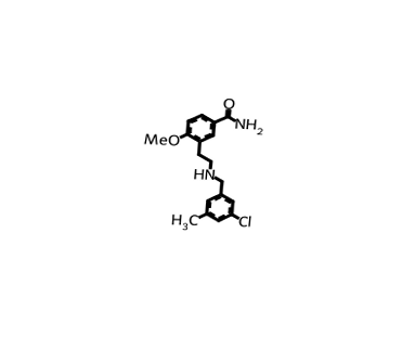 COc1ccc(C(N)=O)cc1CCNCc1cc(C)cc(Cl)c1